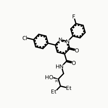 CCC(CC)[C@@H](O)CNC(=O)c1cc(-c2ccc(Cl)cc2)nn(-c2cccc(F)c2)c1=O